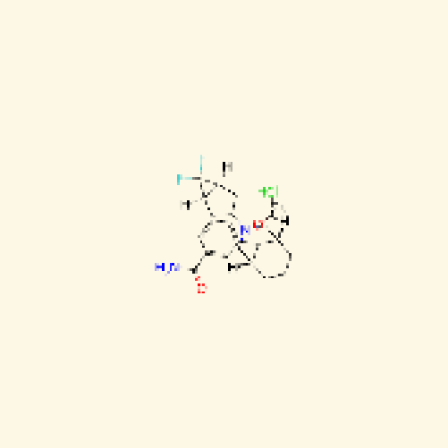 COC1(c2cccc(C(N)=O)c2)[C@@H]2CCC[C@H]1CN(C1C[C@@H]3[C@H](C1)C3(F)F)C2.Cl